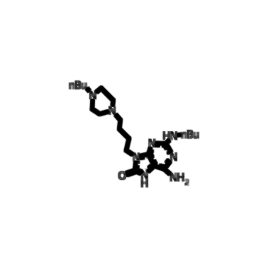 CCCCNc1nc(N)c2[nH]c(=O)n(CCCCN3CCN(CCCC)CC3)c2n1